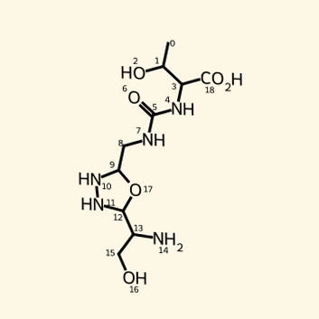 CC(O)C(NC(=O)NCC1NNC(C(N)CO)O1)C(=O)O